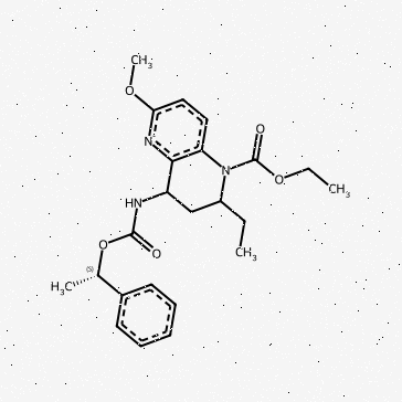 CCOC(=O)N1c2ccc(OC)nc2C(NC(=O)O[C@@H](C)c2ccccc2)CC1CC